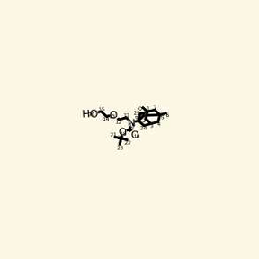 CC12CC3CC(C)(C1)CC(N(CCOCCO)C(=O)OC(C)(C)C)(C3)C2